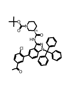 CC(=O)c1ccc(Cl)c(-c2ccc3c(c2)c(NC(=O)[C@@H]2CCCN(C(=O)OC(C)(C)C)C2)nn3C(c2ccccc2)(c2ccccc2)c2ccccc2)c1